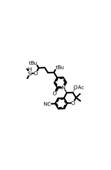 CC(=O)O[C@H]1[C@H](n2ccc(C(CCC(O[SiH](C)C)C(C)(C)C)C(C)(C)C)cc2=O)c2cc(C#N)ccc2OC1(C)C